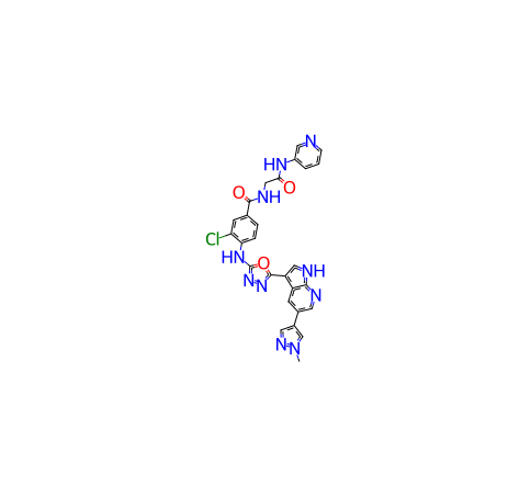 Cn1cc(-c2cnc3[nH]cc(-c4nnc(Nc5ccc(C(=O)NCC(=O)Nc6cccnc6)cc5Cl)o4)c3c2)cn1